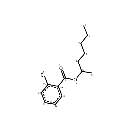 CCCCCC(C)OC(=O)c1ccccc1Cl